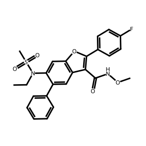 CCN(c1cc2oc(-c3ccc(F)cc3)c(C(=O)NOC)c2cc1-c1ccccc1)S(C)(=O)=O